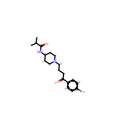 CC(C)C(=O)NC1CCN(CCCC(=O)c2ccc(F)cc2)CC1